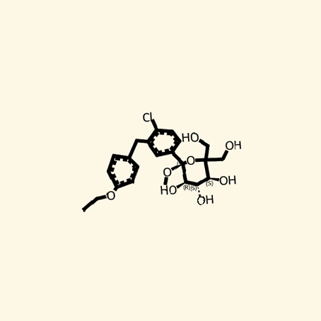 CCOc1ccc(Cc2cc([C@]3(OC)OC(CO)(CO)[C@@H](O)[C@H](O)[C@H]3O)ccc2Cl)cc1